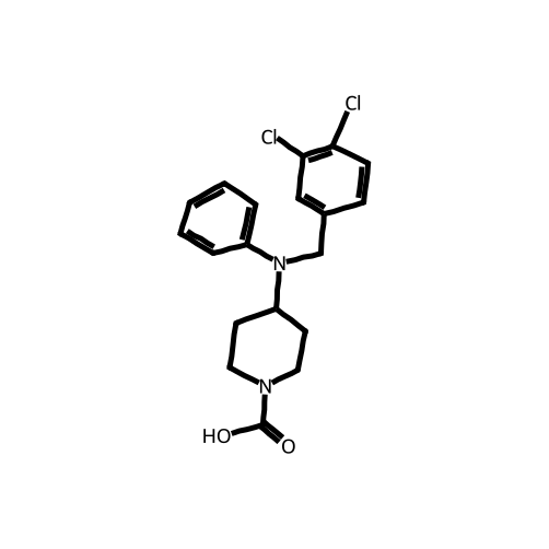 O=C(O)N1CCC(N(Cc2ccc(Cl)c(Cl)c2)c2ccccc2)CC1